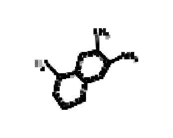 Cc1cc2c(N)cccc2cc1[SiH3]